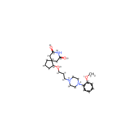 COc1ccccc1N1CCN(CCCOC2CCCC23CC(=O)NC(=O)C3)CC1